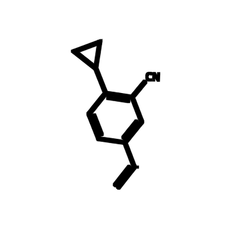 C=[C]c1ccc(C2CC2)c(C#N)c1